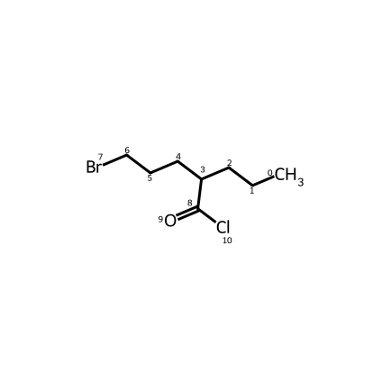 CCCC(CCCBr)C(=O)Cl